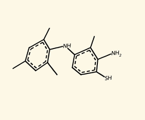 Cc1cc(C)c(Nc2ccc(S)c(N)c2C)c(C)c1